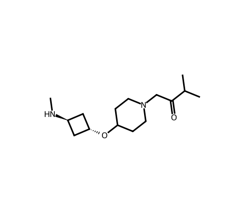 CN[C@H]1C[C@H](OC2CCN(CC(=O)C(C)C)CC2)C1